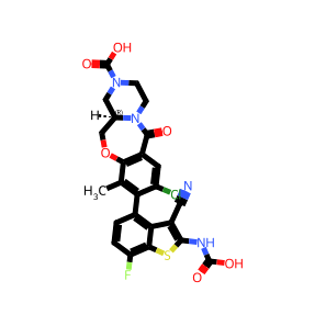 Cc1c2c(cc(Cl)c1-c1ccc(F)c3sc(NC(=O)O)c(C#N)c13)C(=O)N1CCN(C(=O)O)C[C@@H]1CO2